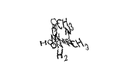 CC1CCC[C@H]1COc1nc(C(=O)O)c(N)c(N2CCN(C)[C@@H](CC#N)C2)n1